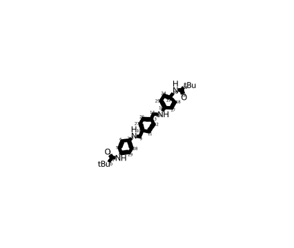 CC(C)(C)C(=O)Nc1ccc(NCc2ccc(CNc3ccc(NC(=O)C(C)(C)C)cc3)cc2)cc1